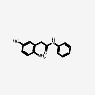 Nc1ccc(O)cc1CC(=O)Nc1ccccc1